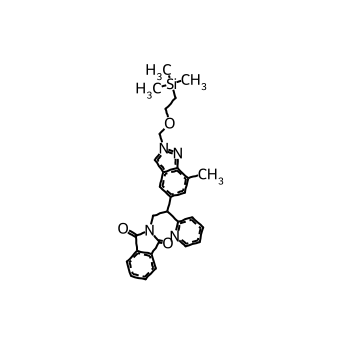 Cc1cc(C(CN2C(=O)c3ccccc3C2=O)c2ccccn2)cc2cn(COCC[Si](C)(C)C)nc12